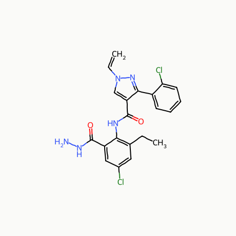 C=Cn1cc(C(=O)Nc2c(CC)cc(Cl)cc2C(=O)NN)c(-c2ccccc2Cl)n1